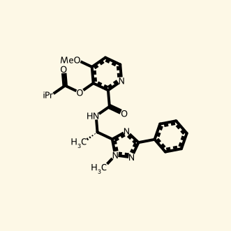 COc1ccnc(C(=O)N[C@@H](C)c2nc(-c3ccccc3)nn2C)c1OC(=O)C(C)C